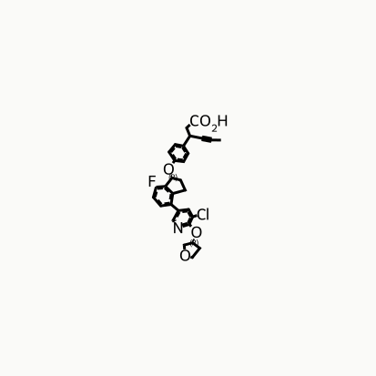 CC#CC(CC(=O)O)c1ccc(O[C@@H]2CCc3c(-c4cnc(O[C@@H]5CCOC5)c(Cl)c4)ccc(F)c32)cc1